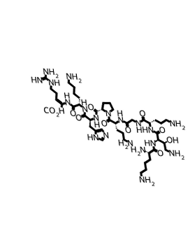 N=C(N)NCC/C=C(\NC(=O)[C@H](CCCCN)NC(=O)[C@H](Cc1cnc[nH]1)NC(=O)[C@@H]1CCCN1C(=O)[C@@H](CCCN)NC(=O)CNC(=O)[C@H](CCCN)NC(=O)[C@H](NC(=O)[C@@H](N)CCCCN)[C@@H](O)CN)C(=O)O